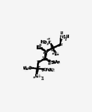 CCN(C(CC([SiH3])(OC)OC)OC)[C@@](CC)(CC(=O)O)C(=O)O